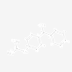 OB(O)Oc1ccc(C(S)c2ccccc2)cc1